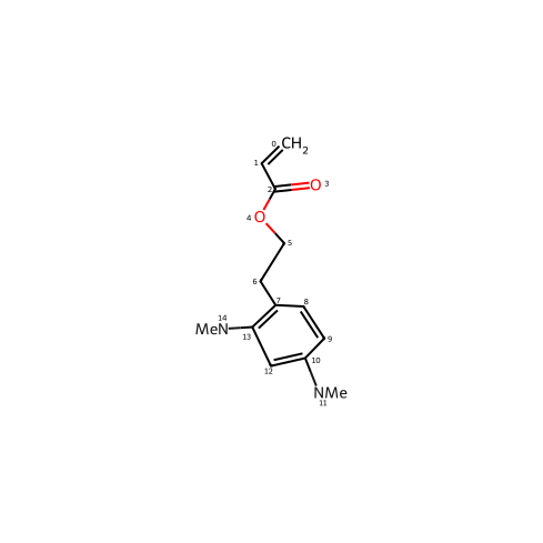 C=CC(=O)OCCc1ccc(NC)cc1NC